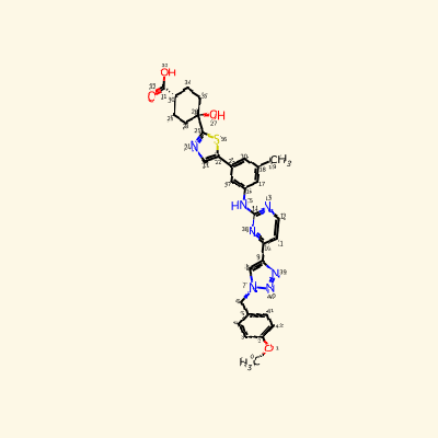 COc1ccc(Cn2cc(-c3ccnc(Nc4cc(C)cc(-c5cnc([C@]6(O)CC[C@H](C(=O)O)CC6)s5)c4)n3)nn2)cc1